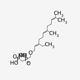 CC/C(=C\COCP(=O)(O)CP(=O)(O)O)CC/C=C(\C)CCC=C(C)C